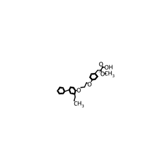 CCCc1cc(-c2ccccc2)ccc1OCCCOc1ccc(C[C@H](OC)C(=O)O)cc1